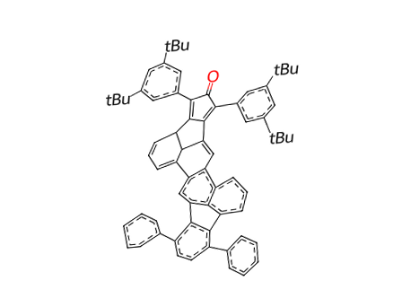 CC(C)(C)c1cc(C2=C3C4=Cc5c(cc6c7c(cccc57)-c5c(-c7ccccc7)ccc(-c7ccccc7)c5-6)C5=CC=CC(C3=C(c3cc(C(C)(C)C)cc(C(C)(C)C)c3)C2=O)C45)cc(C(C)(C)C)c1